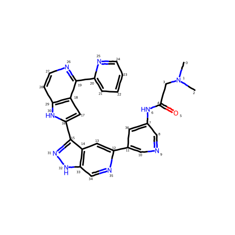 CN(C)CC(=O)Nc1cncc(-c2cc3c(-c4cc5c(-c6ccccn6)nccc5[nH]4)n[nH]c3cn2)c1